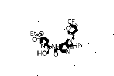 CCS(=O)(=O)c1ccc([C@H](CO)NC(=O)c2cnc3c(c2)CN(C[C@@H]2CC[C@@H](C(F)(F)F)OC2)[C@H]3C(C)C)nc1